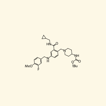 COc1ccc(CNc2ccc(CN3CCC(NC(=O)OC(C)(C)C)CC3)c(C(=O)NCC3CC3)c2)cc1F